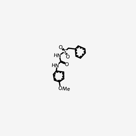 COc1ccc(NC(=O)NS(=O)(=O)Cc2ccccc2)cc1